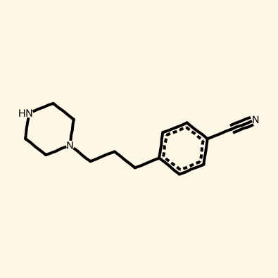 N#Cc1ccc(CCCN2CCNCC2)cc1